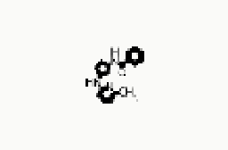 Cc1cccc(NC2CC[C@H](NC(=O)c3ccccc3)C2)n1